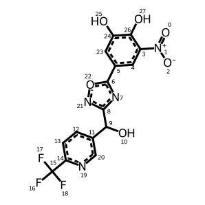 O=[N+]([O-])c1cc(-c2nc(C(O)c3ccc(C(F)(F)F)nc3)no2)cc(O)c1O